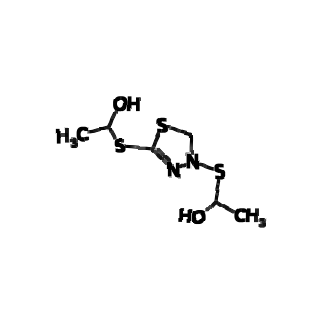 CC(O)SC1=NN(SC(C)O)CS1